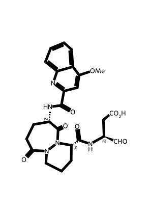 COc1cc(C(=O)N[C@H]2CCC(=O)N3CCC[C@@H](C(=O)N[C@H](C=O)CC(=O)O)N3C2=O)nc2ccccc12